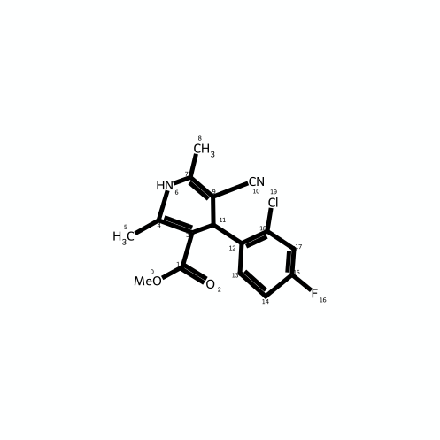 COC(=O)C1=C(C)NC(C)=C(C#N)C1c1ccc(F)cc1Cl